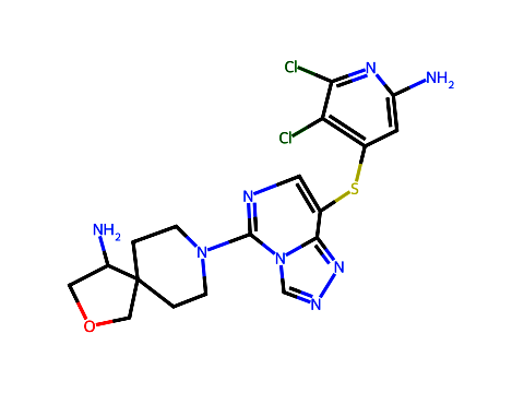 Nc1cc(Sc2cnc(N3CCC4(CC3)COCC4N)n3cnnc23)c(Cl)c(Cl)n1